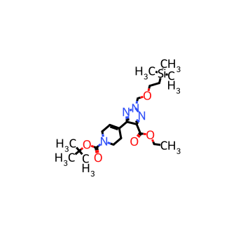 CCOC(=O)c1nn(COCC[Si](C)(C)C)nc1C1=CCN(C(=O)OC(C)(C)C)CC1